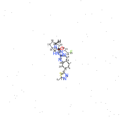 Cc1nnc(-c2ccc3cnc(NC(=O)N4C5CC[C@@H]4C[C@H](NCCF)C5)nc3c2)s1